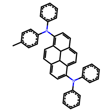 Cc1ccc(N(C2=C3C=CC4=CC=C(N(c5ccccc5)c5ccccc5)C5=CC=C(C=C2)C3C45)c2ccccc2)cc1